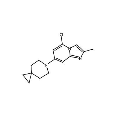 Cc1cn2c(Cl)cc(N3CCC4(CC3)CC4)cc2n1